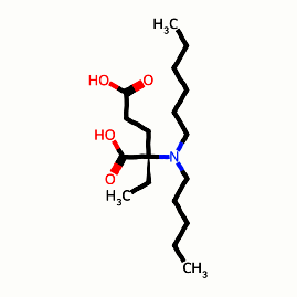 CCCCCCN(CCCCC)[C@@](CC)(CCC(=O)O)C(=O)O